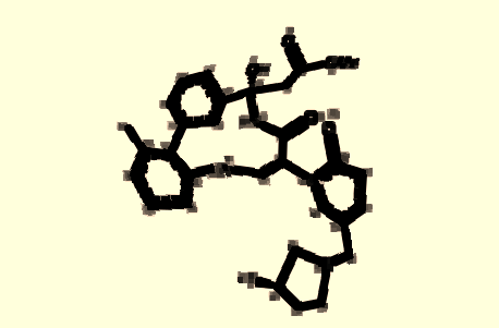 COC(=O)C[C@@](O)(NC(=O)C(CC(C)C)n1cc(CN2CC[C@@H](F)C2)ccc1=O)c1cccc(-c2c(C)cccc2C)c1